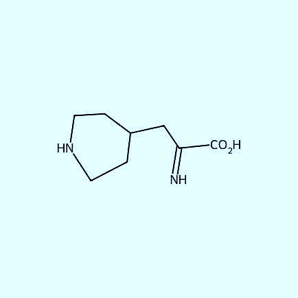 N=C(CC1CCNCC1)C(=O)O